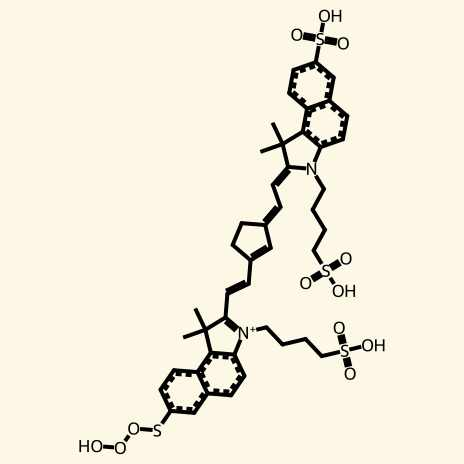 CC1(C)C(=CC=C2C=C(C=CC3=[N+](CCCCS(=O)(=O)O)c4ccc5cc(SOOO)ccc5c4C3(C)C)CC2)N(CCCCS(=O)(=O)O)c2ccc3cc(S(=O)(=O)O)ccc3c21